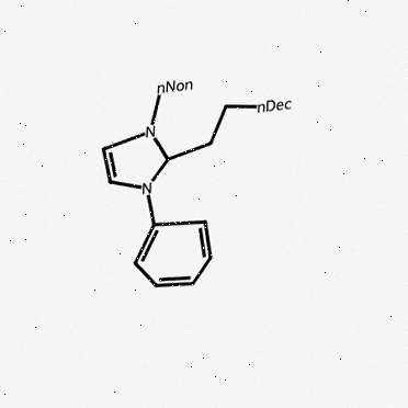 CCCCCCCCCCCCC1N(CCCCCCCCC)C=CN1c1ccccc1